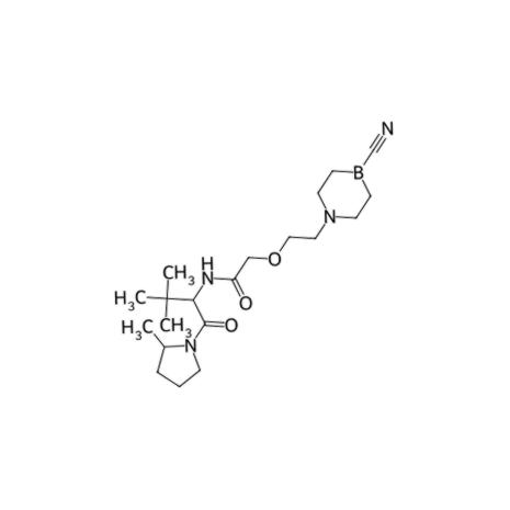 CC1CCCN1C(=O)C(NC(=O)COCCN1CCB(C#N)CC1)C(C)(C)C